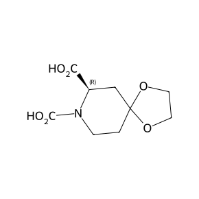 O=C(O)[C@H]1CC2(CCN1C(=O)O)OCCO2